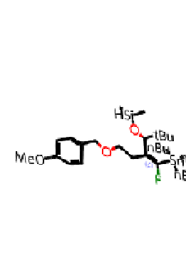 CCC[CH2][Sn]([CH2]CCC)([CH2]CCC)/[C](F)=C(/CCOCc1ccc(OC)cc1)C(O[SiH](C)C)C(C)(C)C